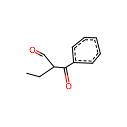 CCC(C=O)C(=O)c1ccccc1